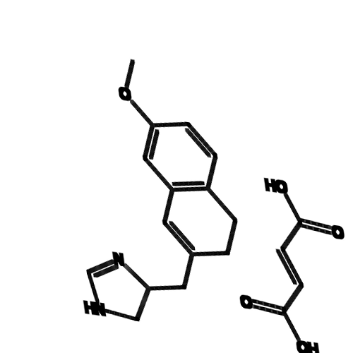 COc1ccc2c(c1)C=C(CC1CNC=N1)CC2.O=C(O)C=CC(=O)O